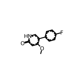 COc1cc(=O)[nH]cc1-c1ccc(F)cc1